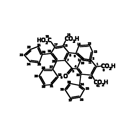 O=C(O)c1ccc(C(=O)c2c(-c3ccccc3)c(C(=O)O)c(C(=O)O)c(-c3ccccc3)c2-c2ccccc2)c(-c2ccccc2)c1C(=O)O